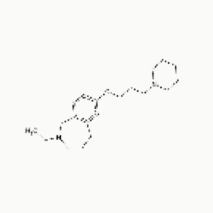 CCN1CCCc2cc(OCCCN3CCCCC3)ccc2C1